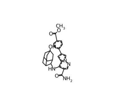 COC(=O)c1ccc(-c2cc3c(NC4C5CC6CC4CC(O)(C6)C5)c(C(N)=O)cnn3c2)cc1